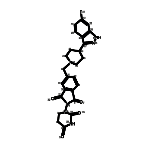 O=C1CCN(N2C(=O)c3ccc(CN4CCC(c5n[nH]c6cc(F)ccc56)CC4)cc3C2=O)C(=O)N1